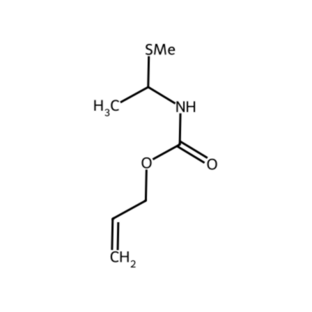 C=CCOC(=O)NC(C)SC